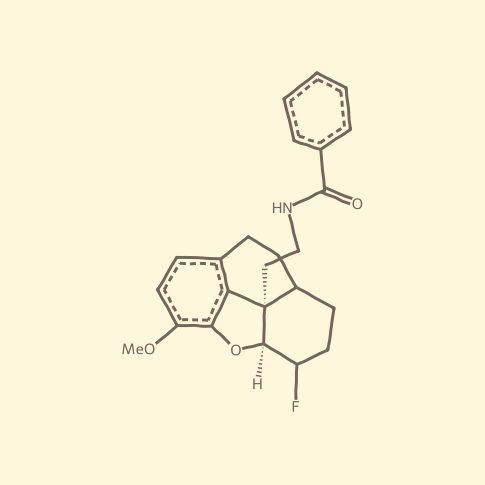 COc1ccc2c3c1O[C@@H]1C(F)CCC(CC2)[C@]31CCNC(=O)c1ccccc1